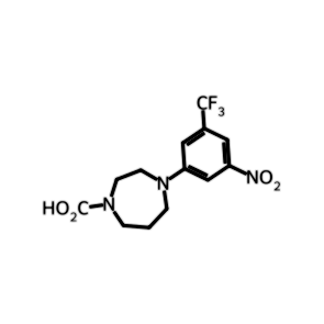 O=C(O)N1CCCN(c2cc([N+](=O)[O-])cc(C(F)(F)F)c2)CC1